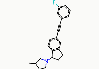 CC1CCN(C2CCc3cc(C#Cc4cccc(F)c4)ccc32)C1